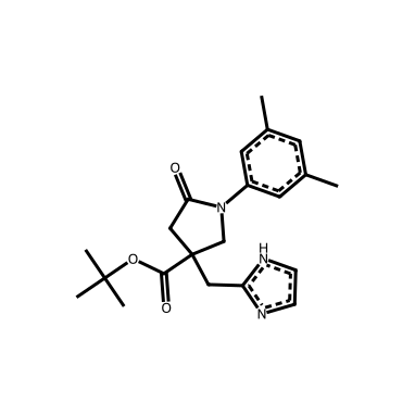 Cc1cc(C)cc(N2CC(Cc3ncc[nH]3)(C(=O)OC(C)(C)C)CC2=O)c1